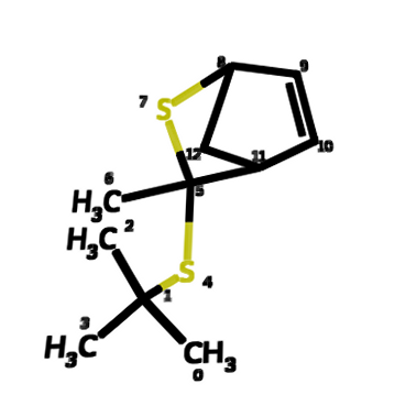 CC(C)(C)SC1(C)SC2C=CC1C2